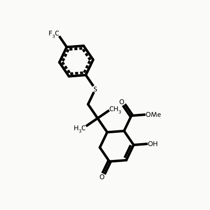 COC(=O)C1C(O)=CC(=O)CC1C(C)(C)CSc1ccc(C(F)(F)F)cc1